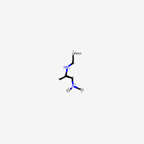 CCCCCCNC(C)CN(CC)CC